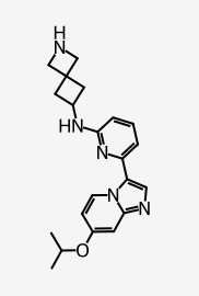 CC(C)Oc1ccn2c(-c3cccc(NC4CC5(CNC5)C4)n3)cnc2c1